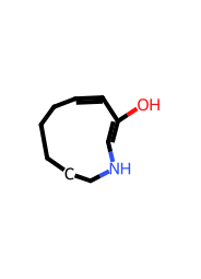 OC1=C\NCCCCC/C=C\1